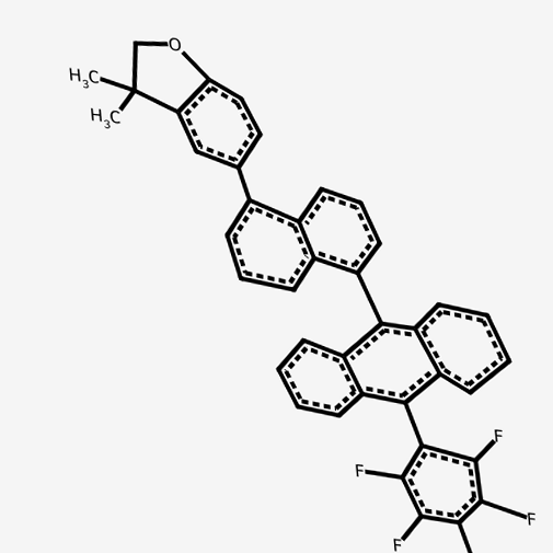 CC1(C)COc2ccc(-c3cccc4c(-c5c6ccccc6c(-c6c(F)c(F)c(F)c(F)c6F)c6ccccc56)cccc34)cc21